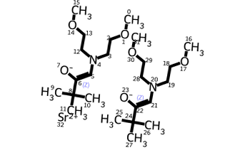 COCCN(/C=C(\[O-])C(C)(C)C)CCOC.COCCN(/C=C(\[O-])C(C)(C)C)CCOC.[Sr+2]